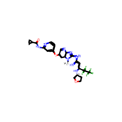 Cn1c(NC(=N)/C=C(\N[C@@H]2CCOC2)C(F)(F)C(F)(F)F)nc2ncc(Oc3ccnc(NC(=O)C4CC4)c3)cc21